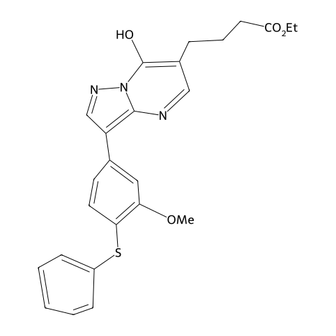 CCOC(=O)CCCc1cnc2c(-c3ccc(Sc4ccccc4)c(OC)c3)cnn2c1O